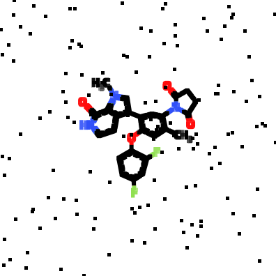 Cc1cc(Oc2ccc(F)cc2F)c(-c2cn(C)c3c(=O)[nH]ccc23)cc1N1C(=O)CCC1=O